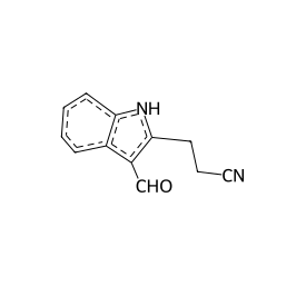 N#CCCc1[nH]c2ccccc2c1C=O